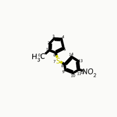 Cc1ccccc1Sc1ccc([N+](=O)[O-])cc1